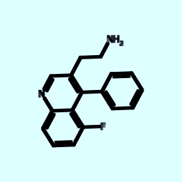 NCCc1cnc2cccc(F)c2c1-c1ccccc1